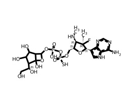 CN[C@@H]1[C@@H](COP(=O)(S)OP(=O)(O)OC2OC3(O)C2C(O)C(O)C3[C@@H](O)CO)O[C@@H](c2c[nH]c3c(N)ncnc23)[C@]1(C)F